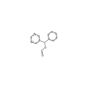 O=COC(c1ccccc1)c1cncnc1